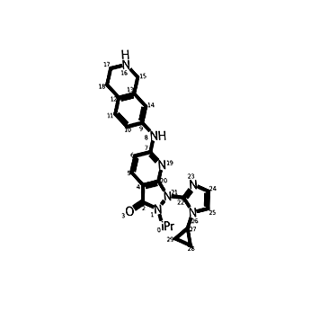 CC(C)n1c(=O)c2ccc(Nc3ccc4c(c3)CNCC4)nc2n1-c1nccn1C1CC1